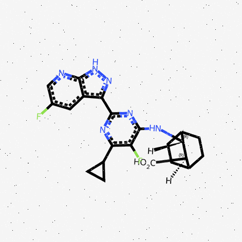 O=C(O)[C@@H]1C2CCC(CC2)[C@H]1Nc1nc(-c2n[nH]c3ncc(F)cc23)nc(C2CC2)c1F